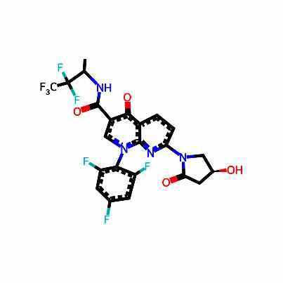 CC(NC(=O)c1cn(-c2c(F)cc(F)cc2F)c2nc(N3C[C@@H](O)CC3=O)ccc2c1=O)C(F)(F)C(F)(F)F